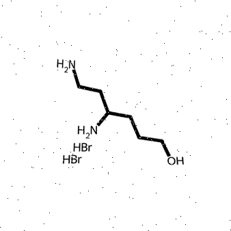 Br.Br.NCCC(N)CCCO